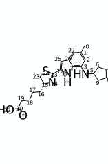 Cc1cc(NC2CCCC2)c2[nH]c(C3=N[C@H](CCCCC(=O)O)CS3)cc2c1